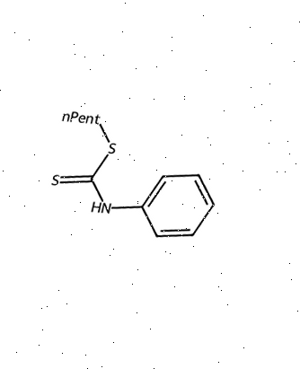 CCCCCSC(=S)Nc1ccccc1